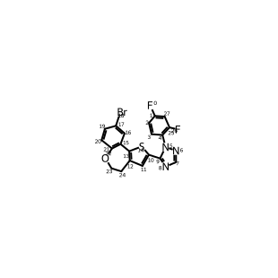 Fc1ccc(-n2ncnc2-c2cc3c(s2)-c2cc(Br)ccc2OCC3)c(F)c1